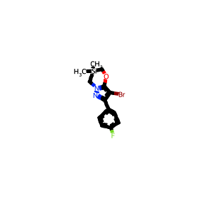 C[Si]1(C)COc2c(Br)c(-c3ccc(F)cc3)nn2C1